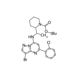 CC(Nc1cc(-c2ccccc2Cl)nc2c(Br)cnn12)C1CCCCN1C(=O)OC(C)(C)C